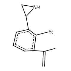 C=C(C)c1cccc(C2CN2)c1CC